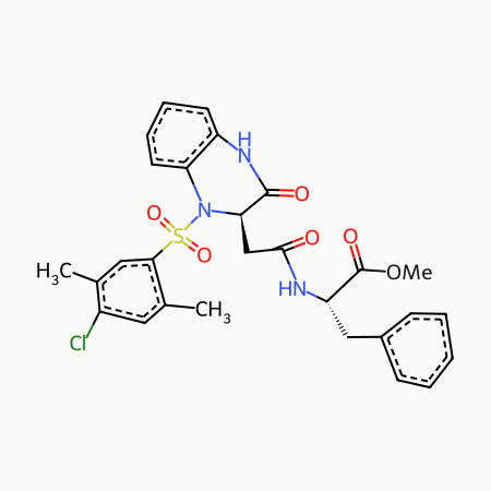 COC(=O)[C@H](Cc1ccccc1)NC(=O)C[C@@H]1C(=O)Nc2ccccc2N1S(=O)(=O)c1cc(C)c(Cl)cc1C